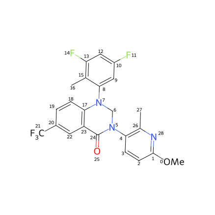 COc1ccc(N2CN(c3cc(F)cc(F)c3C)c3ccc(C(F)(F)F)cc3C2=O)c(C)n1